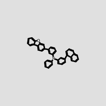 c1ccc(N(c2cccc(-c3ccc4c(c3)oc3ccccc34)c2)c2cccc(-c3cccc4ccccc34)c2)cc1